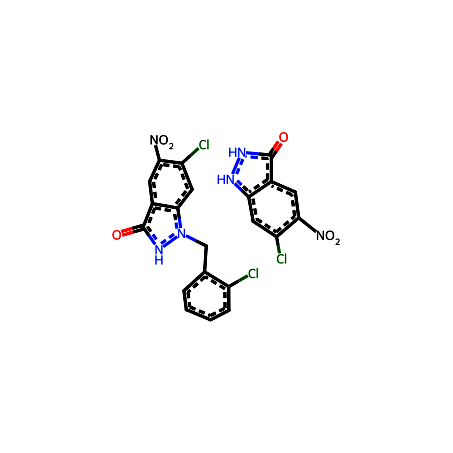 O=c1[nH][nH]c2cc(Cl)c([N+](=O)[O-])cc12.O=c1[nH]n(Cc2ccccc2Cl)c2cc(Cl)c([N+](=O)[O-])cc12